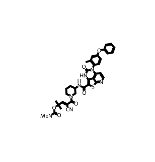 CNC(=O)OC(C)(C)C=C(C#N)C(=O)N1CCCC(NC(=O)c2sc3nccc4c3c2NC(=O)N4c2ccc(Oc3ccccc3)cc2C)C1